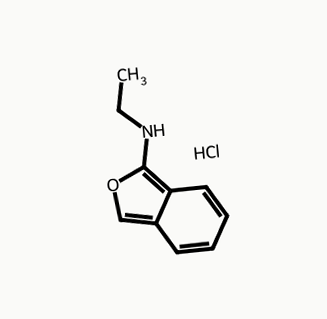 CCNc1occ2ccccc12.Cl